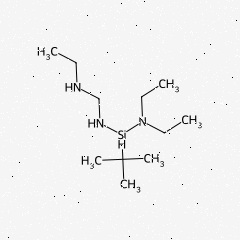 CCNCN[SiH](N(CC)CC)C(C)(C)C